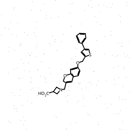 O=C(O)C1CN(CC2=Cc3ccc(OCc4cc(-c5ccccc5)cs4)cc3OC2)C1